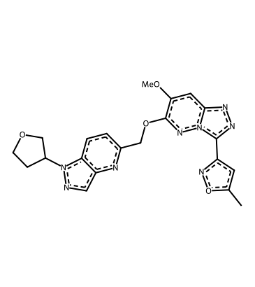 COc1cc2nnc(-c3cc(C)on3)n2nc1OCc1ccc2c(cnn2C2CCOC2)n1